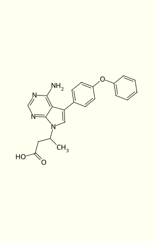 CC(CC(=O)O)n1cc(-c2ccc(Oc3ccccc3)cc2)c2c(N)ncnc21